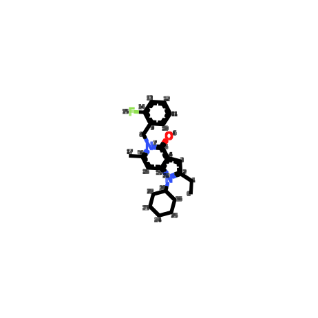 CCc1cc2c(=O)n(Cc3ccccc3F)c(C)cc2n1C1CCCCC1